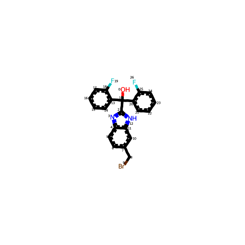 OC(c1nc2ccc(CBr)cc2[nH]1)(c1ccccc1F)c1ccccc1F